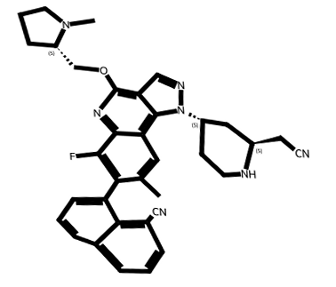 Cc1cc2c(nc(OC[C@@H]3CCCN3C)c3cnn([C@H]4CCN[C@H](CC#N)C4)c32)c(F)c1-c1cccc2cccc(C#N)c12